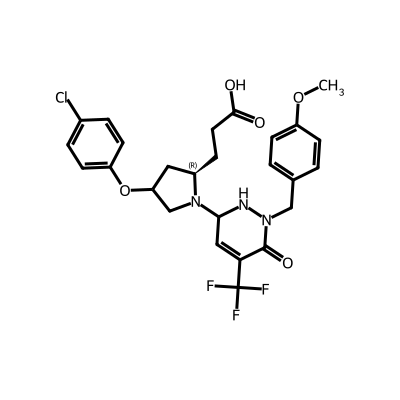 COc1ccc(CN2NC(N3CC(Oc4ccc(Cl)cc4)C[C@H]3CCC(=O)O)C=C(C(F)(F)F)C2=O)cc1